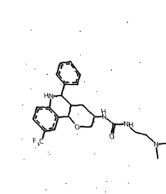 CN(C)CCNC(=O)NC1COC2c3cc(C(F)(F)F)ccc3NC(c3ccccc3)C2C1